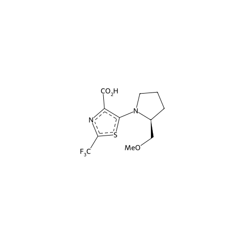 COC[C@@H]1CCCN1c1sc(C(F)(F)F)nc1C(=O)O